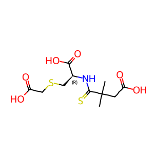 CC(C)(CC(=O)O)C(=S)N[C@@H](CSCC(=O)O)C(=O)O